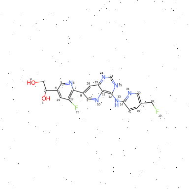 OCC(O)c1cnc(-c2cnc3c(Nc4ccc(CF)cn4)ncnc3c2)c(F)c1